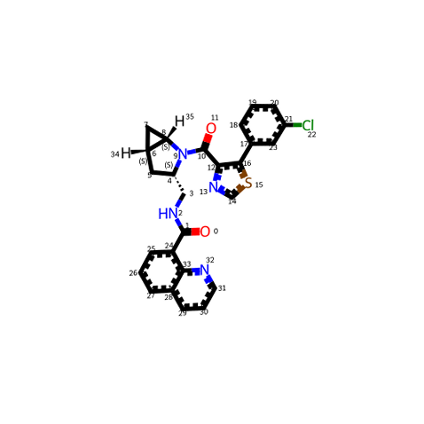 O=C(NC[C@@H]1C[C@@H]2C[C@@H]2N1C(=O)c1ncsc1-c1cccc(Cl)c1)c1cccc2cccnc12